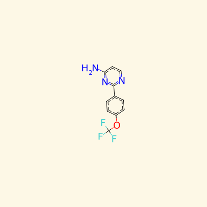 Nc1ccnc(-c2ccc(OC(F)(F)F)cc2)n1